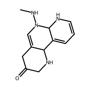 CNN1C=C2CC(=O)CNC2C2=CC=CNC21